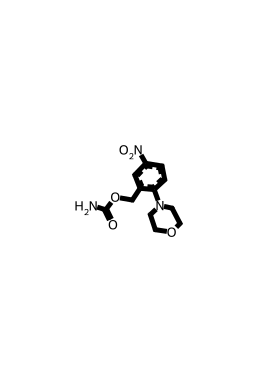 NC(=O)OCc1cc([N+](=O)[O-])ccc1N1CCOCC1